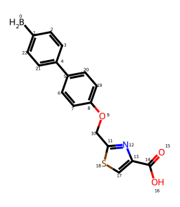 Bc1ccc(-c2ccc(OCc3nc(C(=O)O)cs3)cc2)cc1